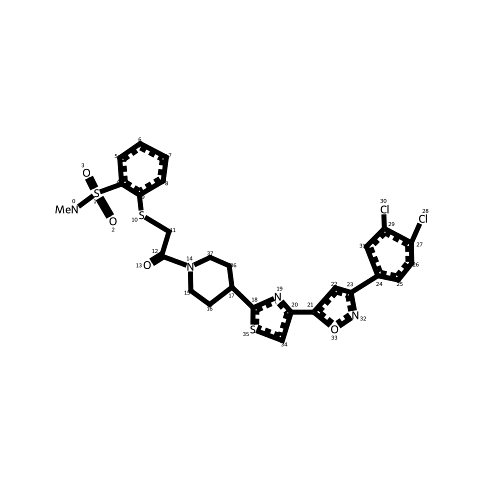 CNS(=O)(=O)c1ccccc1SCC(=O)N1CCC(c2nc(-c3cc(-c4ccc(Cl)c(Cl)c4)no3)cs2)CC1